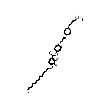 CCCCCCCCCCCCOc1ccc(C(=O)Oc2ccc(OCC=C[C@H]3CC[C@H](CCCCC)CC3)cc2)c(F)c1F